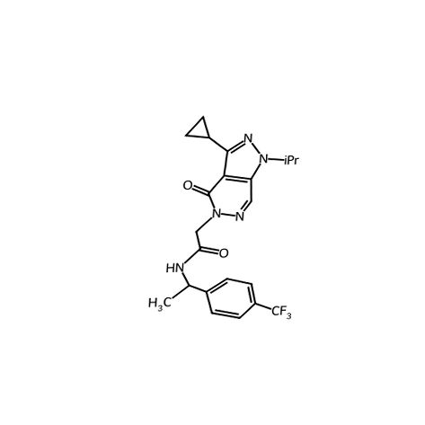 CC(NC(=O)Cn1ncc2c(c(C3CC3)nn2C(C)C)c1=O)c1ccc(C(F)(F)F)cc1